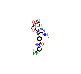 CC1(C(=O)N2CCOC(c3nc(-c4ccc(C(=O)Nc5cc(C(F)(F)F)ccn5)cc4)c4c(N)nccn34)C2)COC1